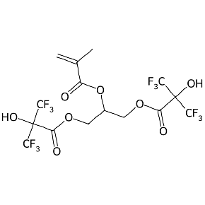 C=C(C)C(=O)OC(COC(=O)C(O)(C(F)(F)F)C(F)(F)F)COC(=O)C(O)(C(F)(F)F)C(F)(F)F